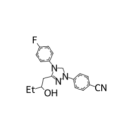 CCC(O)CC1=NN(c2ccc(C#N)cc2)CN1c1ccc(F)cc1